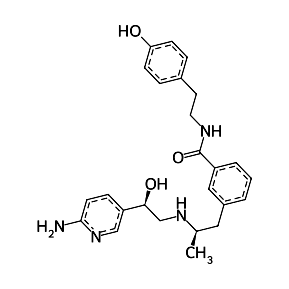 C[C@H](Cc1cccc(C(=O)NCCc2ccc(O)cc2)c1)NC[C@H](O)c1ccc(N)nc1